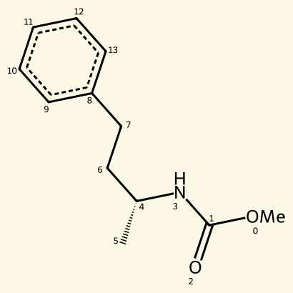 COC(=O)N[C@H](C)CCc1ccccc1